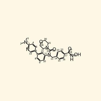 CN(C)c1ccc(-c2cccc(N(Cc3ccc(C(=O)NO)cc3)C(=O)N3CCOCC3)c2)cn1